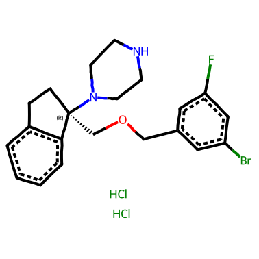 Cl.Cl.Fc1cc(Br)cc(COC[C@@]2(N3CCNCC3)CCc3ccccc32)c1